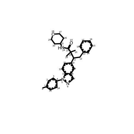 Cc1ccc(-n2ncc3cc(C(Cc4ccccc4)C(C)(C)C(=O)NC4CCOCC4)ccc32)cc1